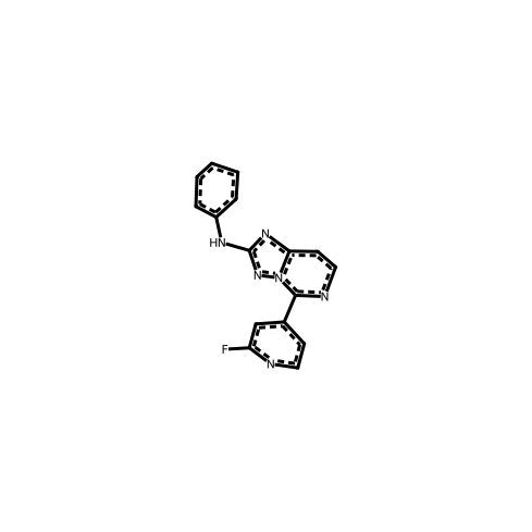 Fc1cc(-c2nccc3nc(Nc4ccccc4)nn23)ccn1